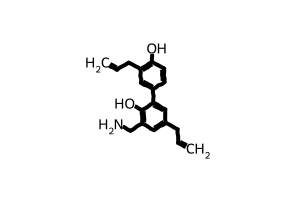 C=CCc1cc(CN)c(O)c(-c2ccc(O)c(CC=C)c2)c1